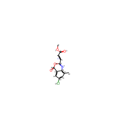 COC(=O)/C=C/c1nc2c(C)cc(Cl)cc2c(=O)o1